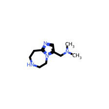 CN(C)Cc1cnc2n1CCNCC2